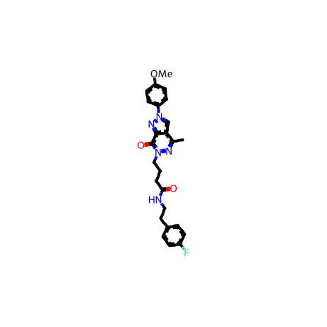 COc1ccc(-n2cc3c(C)nn(CCCC(=O)NCCc4ccc(F)cc4)c(=O)c3n2)cc1